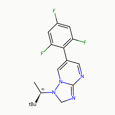 C[C@@H](N1CN=C2N=CC(c3c(F)cc(F)cc3F)=CN21)C(C)(C)C